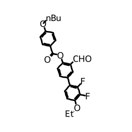 CCCCOc1ccc(C(=O)Oc2ccc(-c3ccc(OCC)c(F)c3F)cc2C=O)cc1